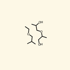 CC(O)COC(C)CO.CCOCC(C)C